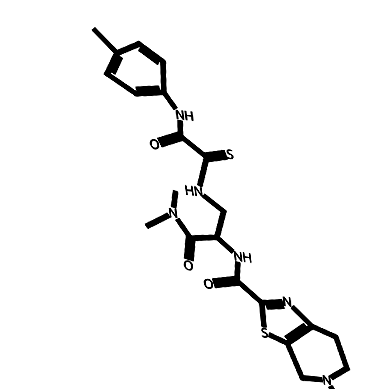 Cc1ccc(NC(=O)C(=S)NCC(NC(=O)c2nc3c(s2)CN(C)CC3)C(=O)N(C)C)cc1